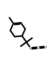 CC1=CCC(C(C)(C)N=C=O)CC1